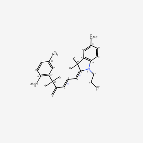 C=C(/C=C/C=C1/N(CCC(C)C)c2ccc(OC)cc2C1(C)C)C(C)(C)c1cc([N+](=O)[O-])ccc1NC